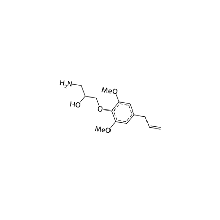 C=CCc1cc(OC)c(OCC(O)CN)c(OC)c1